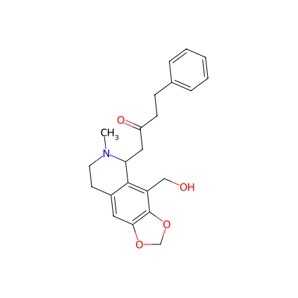 CN1CCc2cc3c(c(CO)c2C1CC(=O)CCc1ccccc1)OCO3